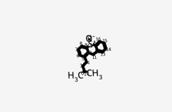 CC(C)CCc1cccc2c1Cc1ccccc1[S+]2[O-]